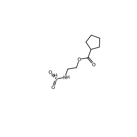 O=C(OCCN[SH](=O)=O)C1CCCC1